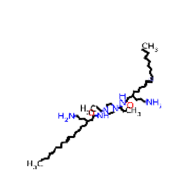 CCCCCCCCC=CCCCCCC(CCCN)CC(=O)NC(CC)N1CCN(C(CC)NC(=O)CC(CCCN)CCCCC/C=C\CCCCCCCC)CC1